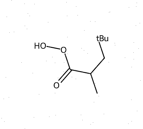 CC(CC(C)(C)C)C(=O)OO